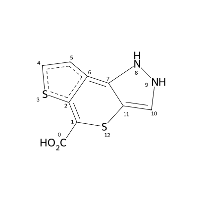 O=C(O)C1=c2sccc2=C2NNC=C2S1